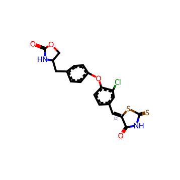 O=C1NC(Cc2ccc(Oc3ccc(/C=C4\SC(=S)NC4=O)cc3Cl)cc2)CO1